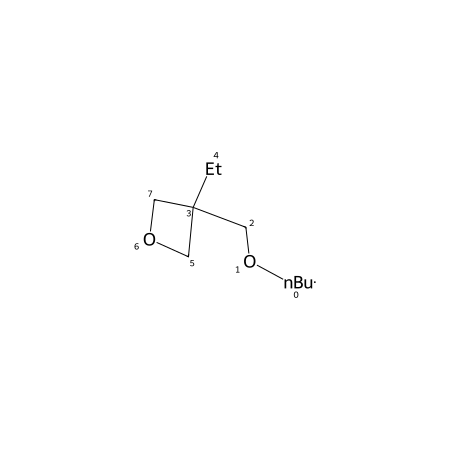 CCC[CH]OCC1(CC)COC1